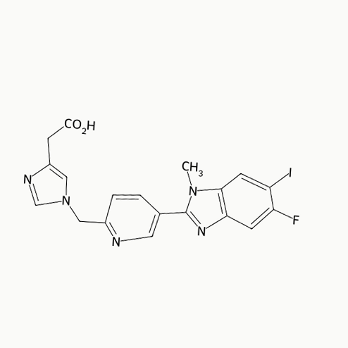 Cn1c(-c2ccc(Cn3cnc(CC(=O)O)c3)nc2)nc2cc(F)c(I)cc21